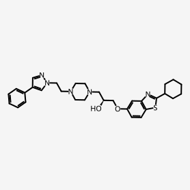 O[C@H](COc1ccc2sc(C3CCCCC3)nc2c1)CN1CCN(CCn2cc(-c3ccccc3)cn2)CC1